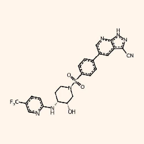 N#Cc1n[nH]c2ncc(-c3ccc(S(=O)(=O)N4CC[C@@H](Nc5ccc(C(F)(F)F)cn5)[C@@H](O)C4)cc3)cc12